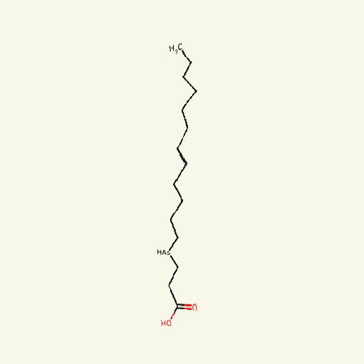 CCCCCCCCCCCC[AsH]CCC(=O)O